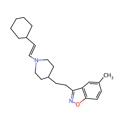 Cc1ccc2onc(CCC3CCN(C=CC4CCCCC4)CC3)c2c1